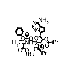 CC(C)C(=O)O[C@H]1[C@H](c2ccc3c(N)ncnn23)O[C@](C)(CO[P@@](=O)(N[C@@H](C)C(=O)OC(C)(C)C)Oc2ccccc2)[C@H]1OC(=O)C(C)C